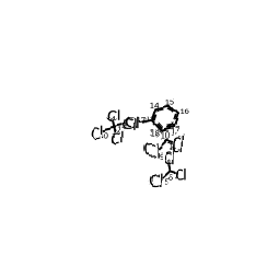 ClC(Cl)(Cl)Cl.ClC(Cl)Cl.ClCCl.Clc1ccccc1